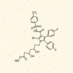 Cc1ccc(S(=O)(=O)NC(=O)c2c(-c3ccc(F)cc3)c(-c3ccc(F)cc3)n(CC[C@@H](O)C[C@@H](O)CC(=O)OC(C)(C)C)c2C(C)C)cc1